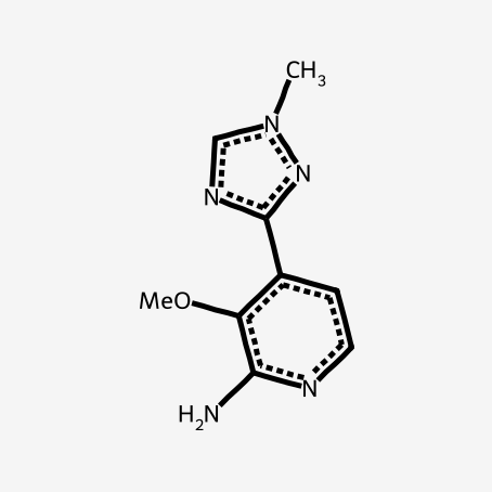 COc1c(-c2ncn(C)n2)ccnc1N